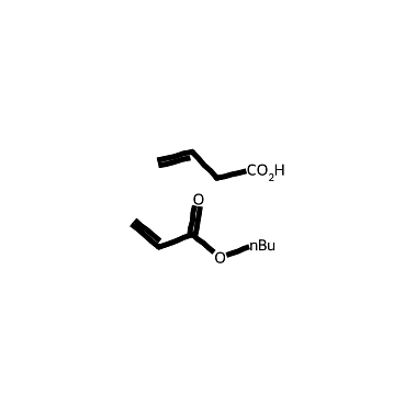 C=CC(=O)OCCCC.C=CCC(=O)O